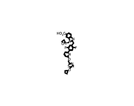 O=C(O)c1ccc2nc(Cc3cc(F)c(-c4cccc(OCc5nnc(OC6CCC6)s5)n4)cc3F)n(C[C@@H]3CCO3)c2c1